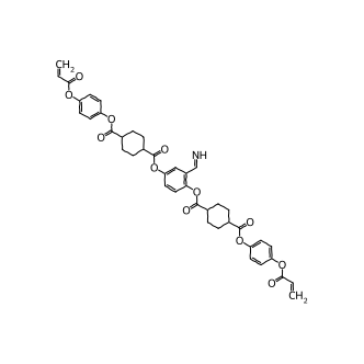 C=CC(=O)Oc1ccc(OC(=O)C2CCC(C(=O)Oc3ccc(OC(=O)C4CCC(C(=O)Oc5ccc(OC(=O)C=C)cc5)CC4)c(C=N)c3)CC2)cc1